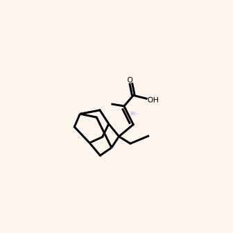 CCC1(/C=C(\C)C(=O)O)C2CC3CC(C2)CC1C3